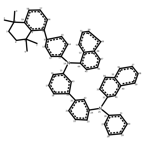 CC1(C)CCC(C)(C)c2c(-c3ccc(N(c4cccc(-c5cccc(N(c6ccccc6)c6ccc7ccccc7c6)c5)c4)c4cccc5ccccc45)cc3)cccc21